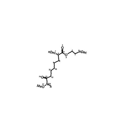 CCCCCCCCCCCCOC(=O)C(CCCCCCCCCC)CCCCCC(=O)N(C)OC